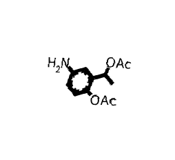 CC(=O)Oc1ccc(N)cc1C(C)OC(C)=O